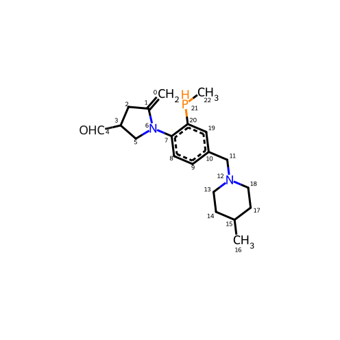 C=C1CC(C=O)CN1c1ccc(CN2CCC(C)CC2)cc1PC